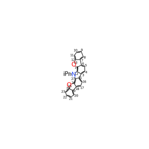 CC(C)n1c2c(ccc3c4ccccc4oc32)c2ccc3c4ccccc4oc3c21